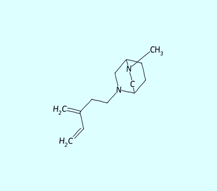 C=CC(=C)CCN1CC2CCC1CN2C